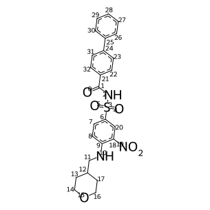 O=C(NS(=O)(=O)c1ccc(NCC2CCOCC2)c([N+](=O)[O-])c1)c1ccc(-c2ccccc2)cc1